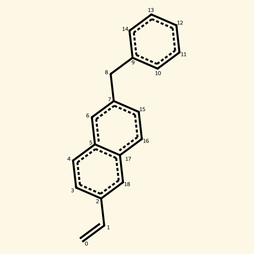 C=Cc1ccc2cc(Cc3ccccc3)ccc2c1